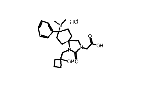 CN(C)[C@]1(c2ccccc2)CC[C@@]2(CC1)CN(CC(=O)O)C(=O)N2CC1(O)CCC1.Cl